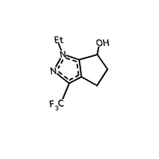 CCn1nc(C(F)(F)F)c2c1C(O)CC2